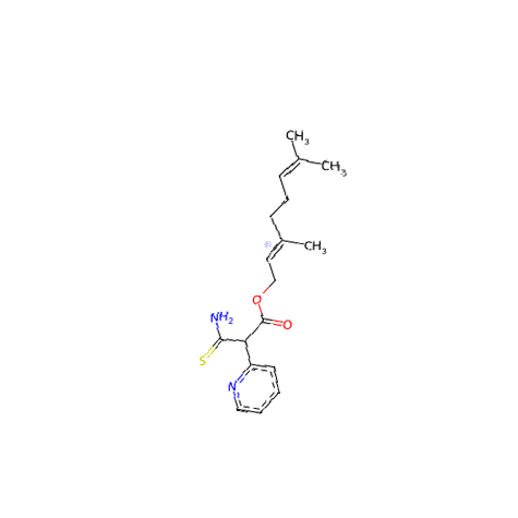 CC(C)=CCC/C(C)=C/COC(=O)C(C(N)=S)c1ccccn1